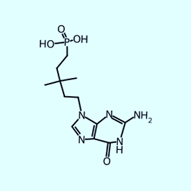 CC(C)(CCn1cnc2c(=O)[nH]c(N)nc21)CCP(=O)(O)O